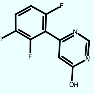 Oc1cc(-c2c(F)ccc(Cl)c2F)ncn1